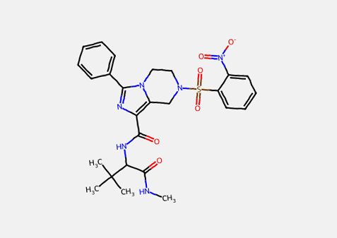 CNC(=O)C(NC(=O)c1nc(-c2ccccc2)n2c1CN(S(=O)(=O)c1ccccc1[N+](=O)[O-])CC2)C(C)(C)C